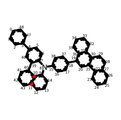 c1ccc(-c2ccc(N(c3ccccc3)c3ccc(-c4cc5c6ccccc6ccc5c5ccccc45)cc3)c(-c3ccccc3)c2)cc1